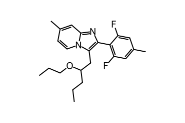 CCCOC(CCC)Cc1c(-c2c(F)cc(C)cc2F)nc2cc(C)ccn12